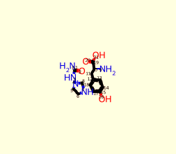 NC(=O)NN1CCNC1.N[C@@H](Cc1ccc(O)cc1)C(=O)O